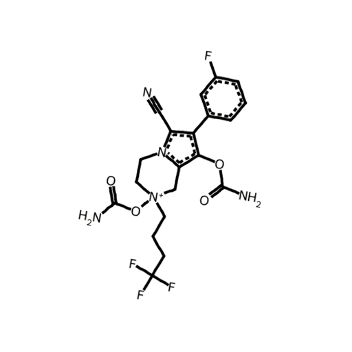 N#Cc1c(-c2cccc(F)c2)c(OC(N)=O)c2n1CC[N+](CCCC(F)(F)F)(OC(N)=O)C2